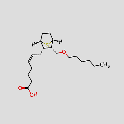 CCCCCCOC[C@@H]1[C@H](C/C=C\CCCC(=O)O)[C@@H]2CC[C@H]1S2